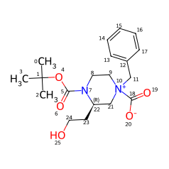 CC(C)(C)OC(=O)N1CC[N+](Cc2ccccc2)(C(=O)[O-])C[C@H]1CCO